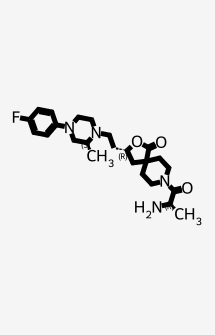 C[C@@H](N)C(=O)N1CCC2(CC1)C[C@H](CCN1CCN(c3ccc(F)cc3)C[C@@H]1C)OC2=O